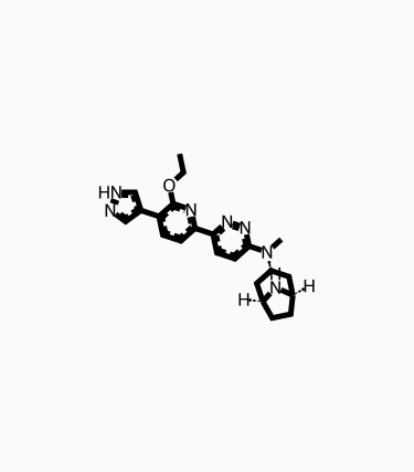 CCOc1nc(-c2ccc(N(C)[C@@H]3C[C@H]4CC[C@@H](C3)N4)nn2)ccc1-c1cn[nH]c1